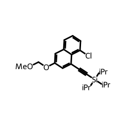 COCOc1cc(C#C[Si](C(C)C)(C(C)C)C(C)C)c2c(Cl)cccc2c1